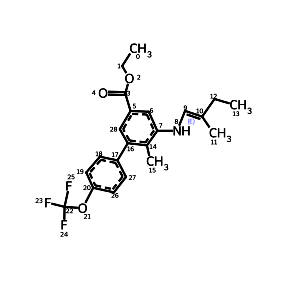 CCOC(=O)c1cc(N/C=C(\C)CC)c(C)c(-c2ccc(OC(F)(F)F)cc2)c1